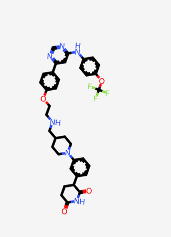 O=C1CCC(c2cccc(N3CCC(CNCCOc4ccc(-c5cc(Nc6ccc(OC(F)(F)F)cc6)ncn5)cc4)CC3)c2)C(=O)N1